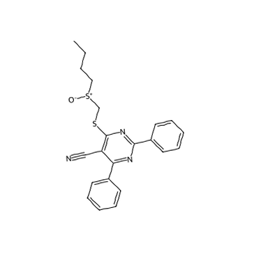 CCCC[S+]([O-])CSc1nc(-c2ccccc2)nc(-c2ccccc2)c1C#N